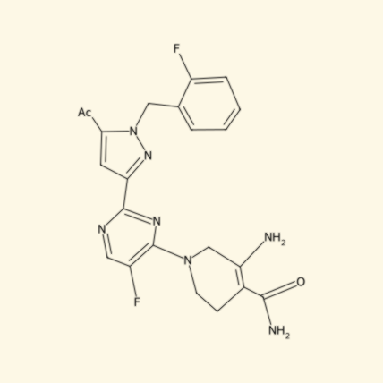 CC(=O)c1cc(-c2ncc(F)c(N3CCC(C(N)=O)=C(N)C3)n2)nn1Cc1ccccc1F